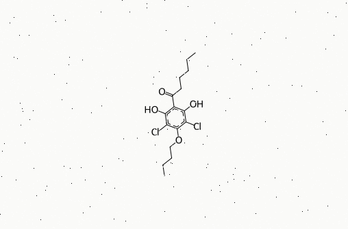 CCCCCC(=O)c1c(O)c(Cl)c(OCCCC)c(Cl)c1O